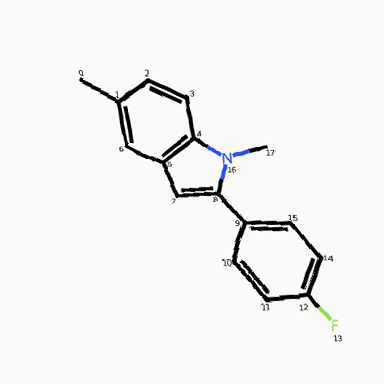 Cc1ccc2c(c1)cc(-c1ccc(F)cc1)n2C